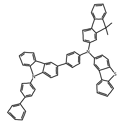 CC1(C)c2ccccc2-c2ccc(N(c3ccc(-c4ccc5c(c4)c4ccccc4n5-c4ccc(-c5ccccc5)cc4)cc3)c3ccc4sc5ccccc5c4c3)cc21